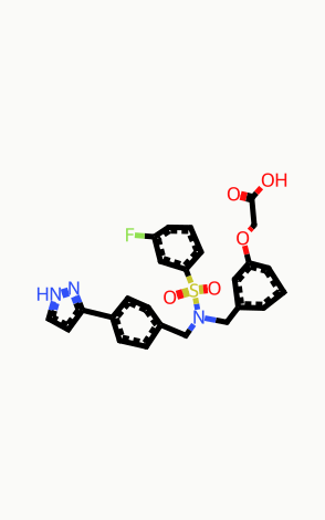 O=C(O)COc1cccc(CN(Cc2ccc(-c3cc[nH]n3)cc2)S(=O)(=O)c2cccc(F)c2)c1